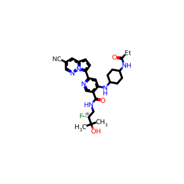 CCC(=O)NC1CCC(Nc2cc(-c3ccc4cc(C#N)cnn34)ncc2C(=O)NC[C@@H](F)C(C)(C)O)CC1